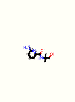 CC(C)(CO)NC(=O)c1cccc(N)n1